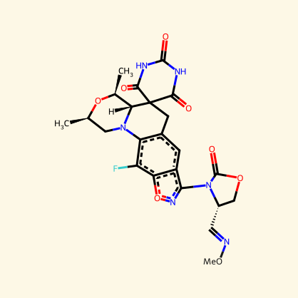 CON=C[C@H]1COC(=O)N1c1noc2c(F)c3c(cc12)CC1(C(=O)NC(=O)NC1=O)[C@H]1[C@H](C)O[C@H](C)CN31